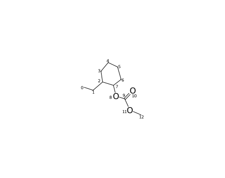 CCC1CCCCC1OC(=O)OC